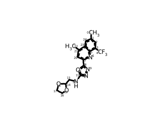 Cc1cc(C(F)(F)F)c2nc(-c3nnc(NCC4OCCO4)o3)cc(C)c2c1